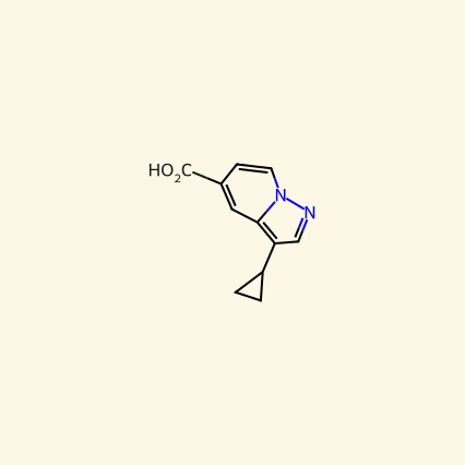 O=C(O)c1ccn2ncc(C3CC3)c2c1